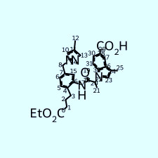 CCOC(=O)CCCc1ccc(Cn2cc(C)cn2)cc1NC(=O)C(C)n1cc(C)c2cc(C(=O)O)ccc21